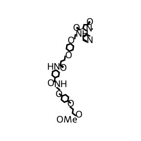 COC(=O)CCCOC1CCC(OCCNC(=O)C2CCC(NC(=O)CCCOC3CCC(OCCNC(=O)[C@H]4CC(=O)N(C)[C@@H]4c4cccnc4)CC3)CC2)CC1